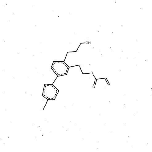 C=CC(=O)OCCc1cc(-c2ccc(C)cc2)ccc1CCCO